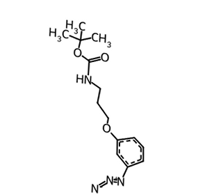 CC(C)(C)OC(=O)NCCCOc1cccc(N=[N+]=[N-])c1